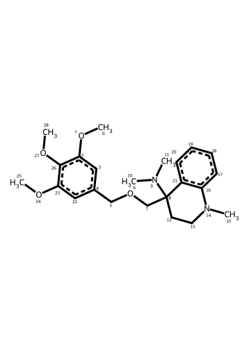 COc1cc(COCC2(N(C)C)CCN(C)c3ccccc32)cc(OC)c1OC